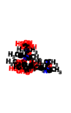 COc1cc([C@@H]2c3cc4c(cc3C(O[C@@H]3O[C@@H]5CO[C@@H](C)O[C@H]5[C@H](O)[C@H]3O)C3COC(=O)[C@@H]32)OCO4)cc(OC)c1O.Cc1ccc(-c2nc3ccc(C)cn3c2CC(=O)N(C)C)cc1.Cc1ccc(-c2nc3ccc(C)cn3c2CC(=O)N(C)C)cc1.O=C(O)C(O)C(O)C(=O)O